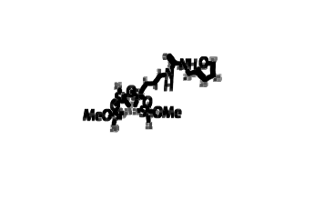 C=C(NCCC[Si](C)(O[Si](C)(C)OC)O[Si](C)(C)O[Si](C)(C)OC)NCc1ccco1